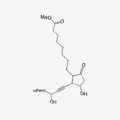 CCCCCC(O)C#CC1C(O)CC(=O)C1CCCCCCCC(=O)OC